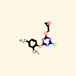 Cc1ccc(Oc2nc(Cl)nc(OCC3CO3)n2)c(C)c1